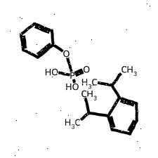 CC(C)c1ccccc1C(C)C.O=P(O)(O)Oc1ccccc1